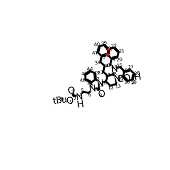 CC(C)(C)OC(=O)NCCn1c(=O)n(C2CCN(C(=O)O)[C@H](N(Cc3ccccc3)Cc3ccccc3)C2CCCc2ccccc2)c2ccccc21